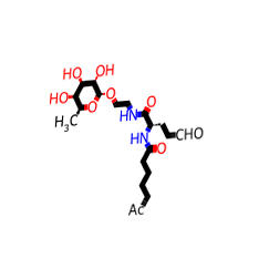 CC(=O)CCCCC(=O)N[C@@H](CCC=O)C(=O)NCCO[C@@H]1O[C@@H](C)[C@@H](O)[C@@H](O)[C@@H]1O